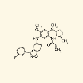 C=CC(=O)Nc1cc(Nc2cc3c(-c4cccc(F)c4)noc3cn2)c(OC)cc1N(C)C1CCN(C)C1